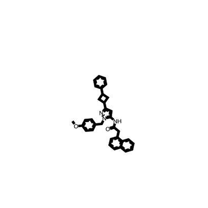 COc1ccc(Cn2nc(C3CC(c4ccccc4)C3)cc2NC(=O)Cc2cccc3ccccc23)cc1